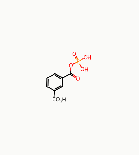 O=C(O)c1cccc(C(=O)OP(=O)(O)O)c1